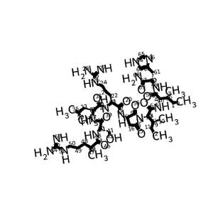 CC[C@H](C)[C@H](NC(=O)[C@H]([C@@H](C)CC)N1C(=O)C[C@H](NC(=O)[C@H](CCCNC(=N)N)NC(=O)[C@H](CC(C)C)NC(=O)[C@H](CO)NC(=O)[C@@H](C)CCCNC(=N)N)C1=O)C(=O)N[C@@H](Cc1c[nH]cn1)C(N)=O